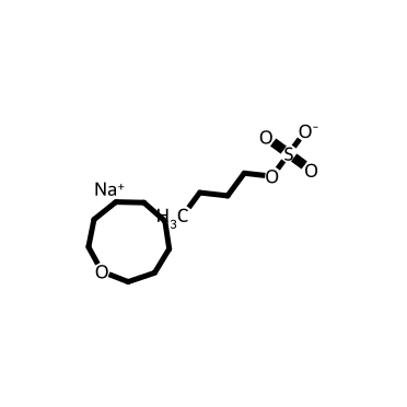 C1CCCCOCCC1.CCCCOS(=O)(=O)[O-].[Na+]